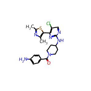 Cc1nc(C)c(-c2nc(NC3CCN(C(=O)c4ccc(N)cc4)CC3)ncc2Cl)s1